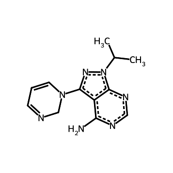 CC(C)n1nc(N2C=CC=NC2)c2c(N)ncnc21